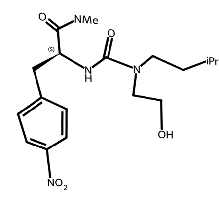 CNC(=O)[C@H](Cc1ccc([N+](=O)[O-])cc1)NC(=O)N(CCO)CCC(C)C